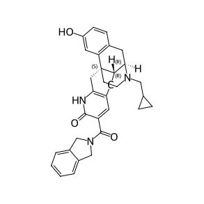 O=C(c1cc2c([nH]c1=O)C[C@]13CCN(CC4CC4)[C@H](Cc4ccc(O)cc41)[C@@H]3C2)N1Cc2ccccc2C1